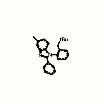 Cc1ccc2c(c1)nc(-c1ccccc1)n2-c1ccccc1CC(C)(C)C